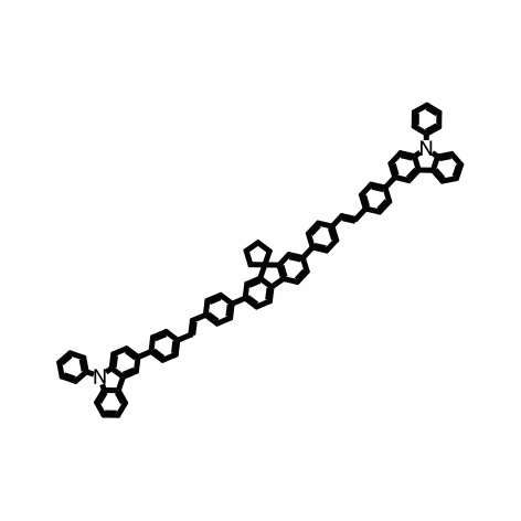 C(=C\c1ccc(-c2ccc3c(c2)c2ccccc2n3-c2ccccc2)cc1)/c1ccc(-c2ccc3c(c2)C2(CCCC2)c2cc(-c4ccc(/C=C/c5ccc(-c6ccc7c(c6)c6ccccc6n7-c6ccccc6)cc5)cc4)ccc2-3)cc1